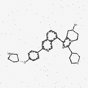 CC(=O)N1CCn2c(C3CCOCC3)nc(-c3cccc4cc(-c5ccc(O[C@@H]6CCNC6)cc5)ncc34)c2C1